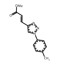 COC(=O)/C=C/c1cn(-c2ccc(C)cc2)nn1